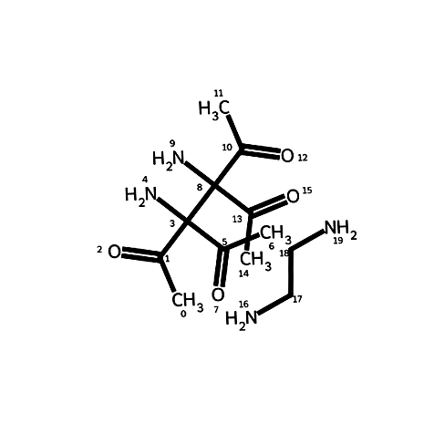 CC(=O)C(N)(C(C)=O)C(N)(C(C)=O)C(C)=O.NCCN